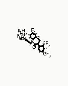 Nc1nnc(C#CCN2C(=O)C(c3ccc(C(F)(F)F)cc3C(F)(F)F)CCc3cc(F)ccc32)o1